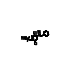 CC(C)(O)Cn1nc(Cl)c(NCc2ccccc2)cc1=O